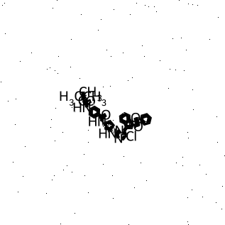 CC(C)(C)OC(=O)Nc1ccc(C(=O)N[C@@H]2CC[C@H](Nc3ncc(Cl)c(-c4cn(S(=O)(=O)c5ccccc5)c5ccccc45)n3)C2)cc1